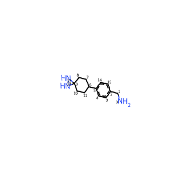 NCc1ccc(C2CCC3(CC2)NN3)cc1